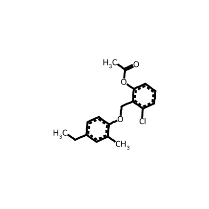 CCc1ccc(OCc2c(Cl)cccc2OC(C)=O)c(C)c1